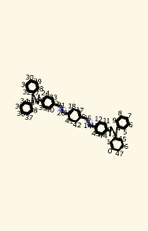 C1=CC(N(c2ccccc2)c2ccc(/C=C/C3=CC=C(/C=C/c4ccc(N(c5ccccc5)c5ccccc5)cc4)CC3)cc2)=CCC1